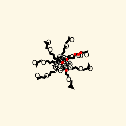 C(COCC1CC1)C[Si]12O[Si]3(CCCOCC4CO4)O[Si]4(CCCOCC5CO5)O[Si](CCCOCC5CO5)(O1)O[Si]1(CCCOCC5CO5)O[Si](CCCOCC5CO5)(O2)O[Si](CCCOCC2CO2)(O3)O[Si](CCCOCC2CO2)(O4)O1